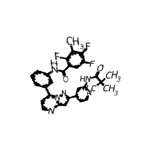 Cc1c(F)c(F)cc(C(=O)Nc2cccc(-c3ccnc4cc(-c5ccnc(NC(=O)C(C)(C)C)c5)nn34)c2)c1F